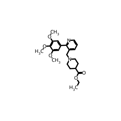 CCOC(=O)C1CCN(Cc2cccnc2-c2cc(OC)c(OC)c(OC)c2)CC1